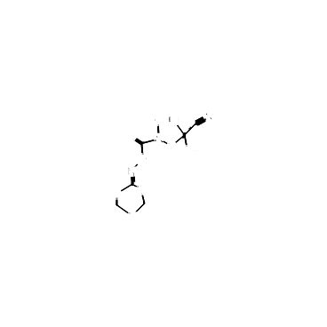 CN(SC(C)(C)C#N)C(=O)ON=C1SCSCS1